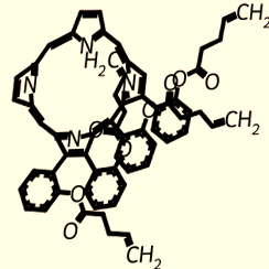 C=CCCC(=O)Oc1ccccc1C1=CC2=CC3=NC(=CC4=NC(=CC5=NC(=C(c6ccccc6OC(=O)CCC=C)C1=N2)C(c1ccccc1OC(=O)CCC=C)=C5c1ccccc1OC(=O)CCC=C)C=C4)C=C3